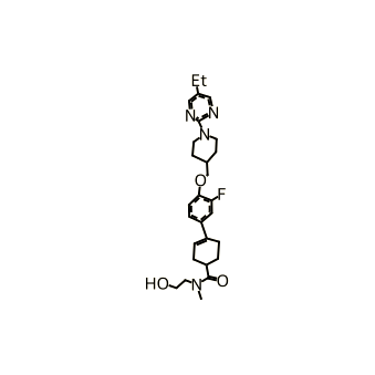 CCc1cnc(N2CCC(COc3ccc(C4=CCC(C(=O)N(C)CCO)CC4)cc3F)CC2)nc1